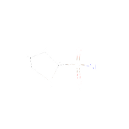 NS(=O)(=O)C1CCCS1